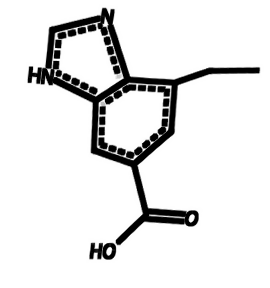 CCc1cc(C(=O)O)cc2[nH]cnc12